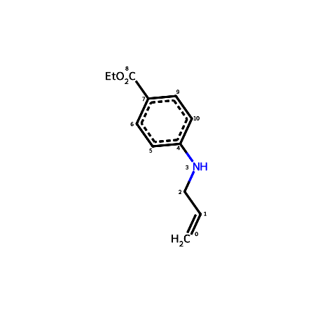 C=CCNc1ccc(C(=O)OCC)cc1